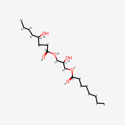 CCCCCCCC(=O)OCC(O)COC(=O)CCC(O)CCCC